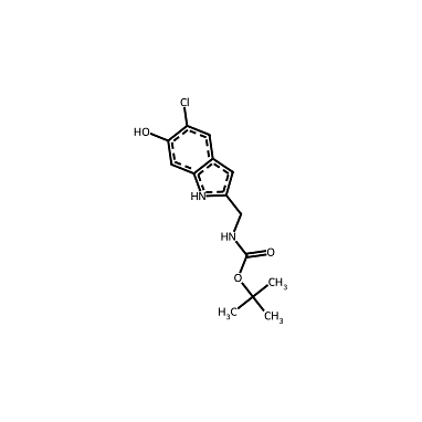 CC(C)(C)OC(=O)NCc1cc2cc(Cl)c(O)cc2[nH]1